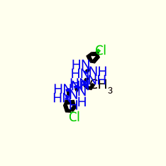 CCC(NC(=N)NC(=N)Nc1ccc(Cl)cc1)NC(=N)NC(=N)Nc1ccc(Cl)cc1